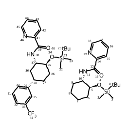 CC(C)(C)[Si](C)(C)O[C@H]1CCCC[C@@H]1NC(=O)c1ccccn1.CC(C)(C)[Si](C)(C)O[C@H]1CC[C@H](c2cccc(C(F)(F)F)c2)C[C@@H]1NC(=O)c1ccccn1